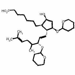 CC(C)=CCC(C)[C@H](/C=C/[C@@H]1[C@@H](CCCCCCC(=O)O)[C@@H](O)C[C@H]1OC1CCCCO1)OC1CCCCO1